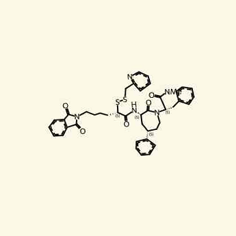 CNC(=O)[C@H](Cc1ccccc1)N1CC[C@H](c2ccccc2)C[C@H](NC(=O)[C@H](CCCCN2C(=O)c3ccccc3C2=O)SSCc2ccccn2)C1=O